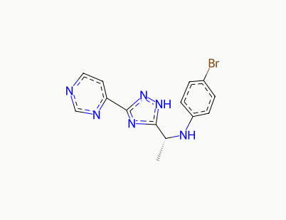 C[C@@H](Nc1ccc(Br)cc1)c1nc(-c2ccncn2)n[nH]1